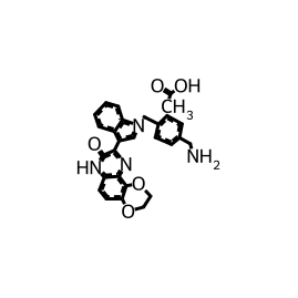 CC(=O)O.NCc1ccc(Cn2cc(-c3nc4c5c(ccc4[nH]c3=O)OCCO5)c3ccccc32)cc1